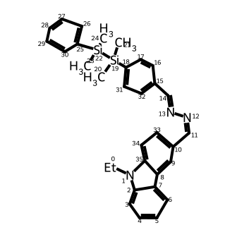 CCn1c2ccccc2c2cc(/C=N\N=C\c3ccc([Si](C)(C)[Si](C)(C)c4ccccc4)cc3)ccc21